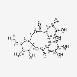 COC1OC2COC(=O)c3cc(O)c(O)c(O)c3-c3c(cc(O)c(O)c3O)C(=O)OC2C(C)C1C